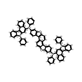 c1ccc(N(c2ccc3c(c2)oc2ccc4c(ccc5oc6cc(N(c7ccccc7)c7cc8c(c9ccccc79)c7ccccc7n8-c7ccccc7)ccc6c54)c23)c2cc3c(c4ccccc24)c2ccccc2n3-c2ccccc2)cc1